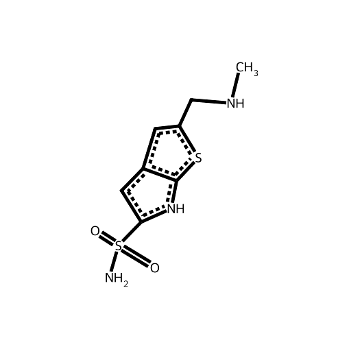 CNCc1cc2cc(S(N)(=O)=O)[nH]c2s1